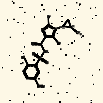 COc1ccc(Cl)c(S(=O)(=O)NC(=O)c2nc(Br)n([C@@H]3C[C@H]3C(F)(F)F)c2Br)c1